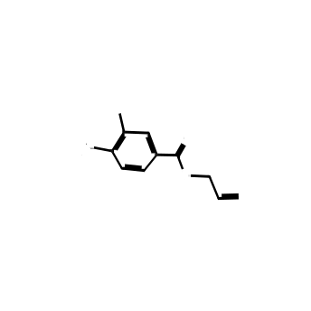 C=CCOC(=O)c1ccc(N)c(C)c1